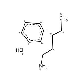 CCCCCN.Cl.c1ccccc1